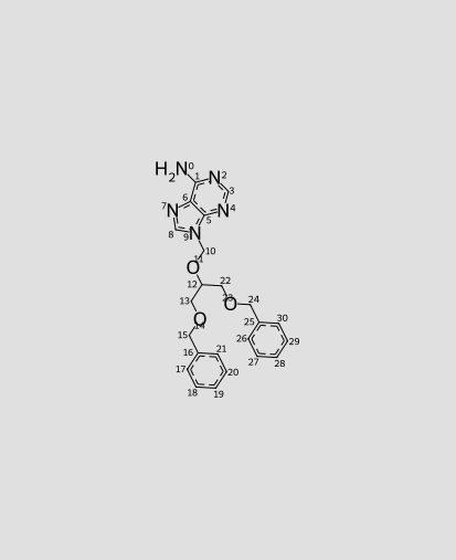 Nc1ncnc2c1ncn2COC(COCc1ccccc1)COCc1ccccc1